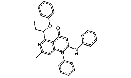 CCC(Oc1ccccc1)c1nc(C)cc2c1c(=O)cc(Nc1ccccc1)n2-c1ccccc1